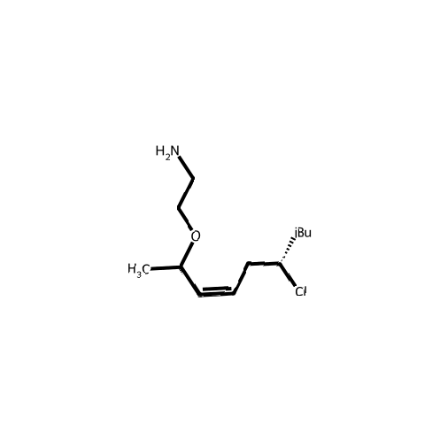 CCC(C)[C@H](Cl)C/C=C\C(C)OCCN